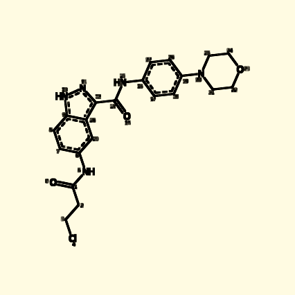 O=C(CCCl)Nc1ccc2[nH]nc(C(=O)Nc3ccc(N4CCOCC4)cc3)c2c1